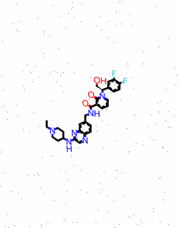 CCN1CCC(Nc2cnc3ccc(CNC(=O)c4cccn([C@@H](CO)c5ccc(F)c(F)c5)c4=O)cc3n2)CC1